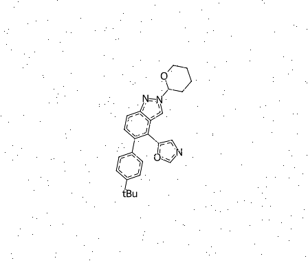 CC(C)(C)c1ccc(-c2ccc3nn(C4CCCCO4)cc3c2-c2cnco2)cc1